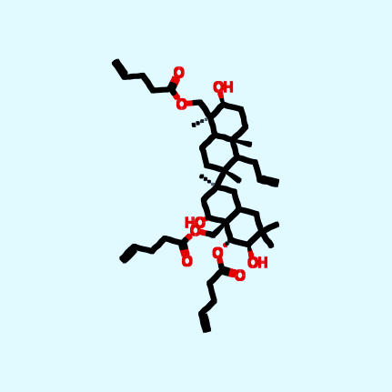 C=CCCC(=O)OC[C@@]12C(CC(C)(C)[C@@H](O)[C@@H]1OC(=O)CCC=C)C[C@](C)([C@]1(C)CCC3[C@](C)(CC[C@H](O)[C@]3(C)COC(=O)CCC=C)C1CC=C)C[C@H]2O